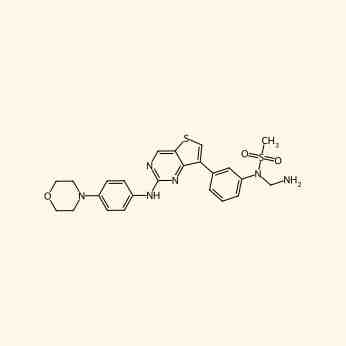 CS(=O)(=O)N(CN)c1cccc(-c2csc3cnc(Nc4ccc(N5CCOCC5)cc4)nc23)c1